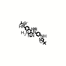 CC(C)[S+]([O-])Nc1ccc(C(=N)c2c(N)ncnc2Nc2ccc(Nc3cc(C(C)(C)C)on3)cc2)cc1